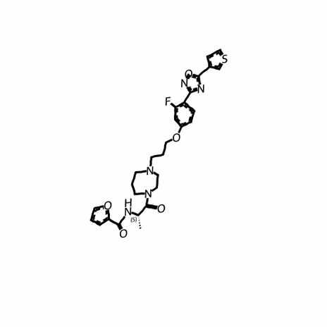 C[C@H](NC(=O)c1ccco1)C(=O)N1CCCN(CCCOc2ccc(-c3noc(-c4ccsc4)n3)c(F)c2)CC1